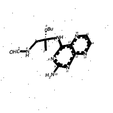 CCCC[C@](C)(CNC=O)Nc1nc(N)nc2nccnc12